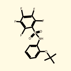 CC(C)(C)Oc1ccccc1NS(=O)(=O)c1c(F)c(F)c(F)c(F)c1F